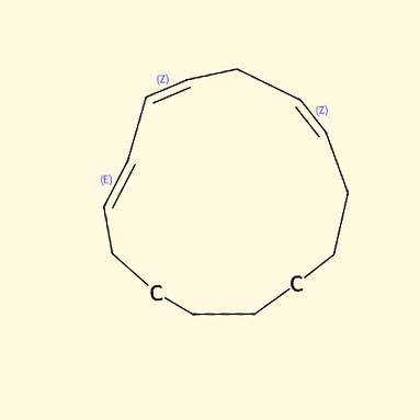 C1=C\C/C=C\CCCCCCC/C=C/1